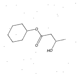 CC(O)CC(=O)OC1CCCCC1